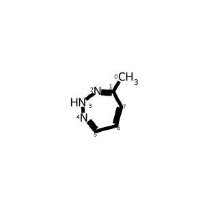 CC1=NNN=CC=C1